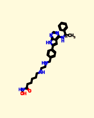 C[C@@H](Nc1ncnc2[nH]c(-c3ccc(CNCCNCCCCCC(=O)NO)cc3)cc12)c1ccccc1